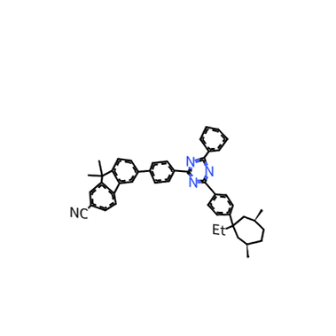 CCC1(c2ccc(-c3nc(-c4ccccc4)nc(-c4ccc(-c5ccc6c(c5)-c5ccc(C#N)cc5C6(C)C)cc4)n3)cc2)C[C@H](C)CC[C@H](C)C1